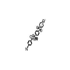 N#Cc1ccc(C(=O)NS(=O)(=O)c2ccc(S(=O)(=O)N3CC[S+]([O-])CC3)cc2)cc1